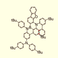 CC(C)(C)c1ccc(N2B3c4ccc5c(oc6ccccc65)c4N(c4ccc(C(C)(C)C)cc4-c4ccccc4)c4cc(C(C)(C)C)cc(c43)-c3cc(N(c4ccc(C(C)(C)C)cc4)c4ccc(C(C)(C)C)cc4)ccc32)cc1